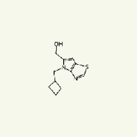 OCc1cc2scnc2n1CC1CCC1